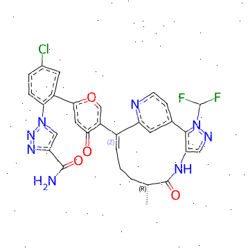 C[C@@H]1CC/C=C(/c2coc(-c3cc(Cl)ccc3-n3cc(C(N)=O)nn3)cc2=O)c2cc(ccn2)-c2c(cnn2C(F)F)NC1=O